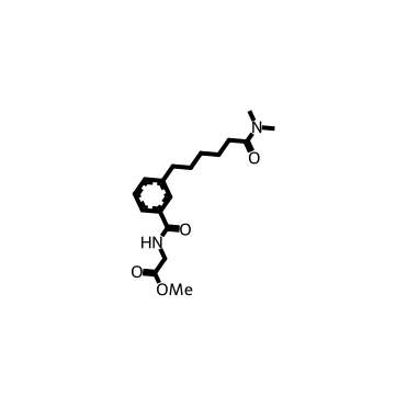 COC(=O)CNC(=O)c1cccc(CCCCCC(=O)N(C)C)c1